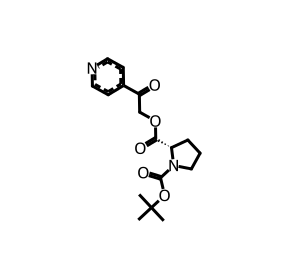 CC(C)(C)OC(=O)N1CCC[C@H]1C(=O)OCC(=O)c1ccncc1